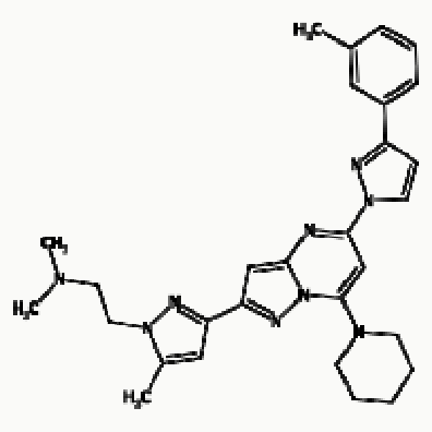 Cc1cccc(-c2ccn(-c3cc(N4CCCCC4)n4nc(-c5cc(C)n(CCN(C)C)n5)cc4n3)n2)c1